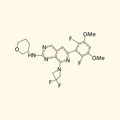 COc1cc(OC)c(F)c(-c2cc3cnc(N[C@H]4CCCOC4)nc3c(N3CC(F)(F)C3)n2)c1F